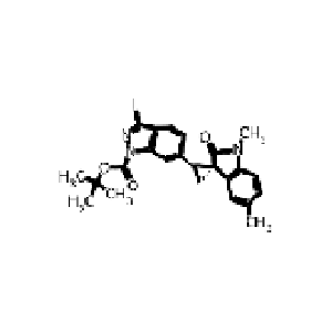 Cc1ccc2c(c1)[C@]1(C[C@H]1c1ccc3c(I)nn(C(=O)OC(C)(C)C)c3c1)C(=O)N2C